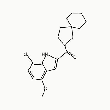 COc1ccc(Cl)c2[nH]c(C(=O)N3CCC4(CCCCC4)C3)cc12